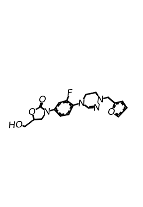 O=C1OC(CO)CN1c1ccc(N2C=NN(Cc3ccco3)CC2)c(F)c1